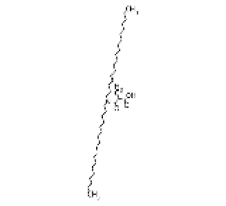 CCCCCCCCCCCCCCCCCCN(CCCCCCCCCCCCCCCCCC)C(=O)C(C)C(=O)O